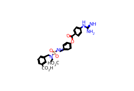 N=C(N)Nc1ccc(C(=O)Oc2ccc(CNS(=O)(=O)N(CC(=O)O)Cc3cccc(C(=O)O)c3)cc2)cc1